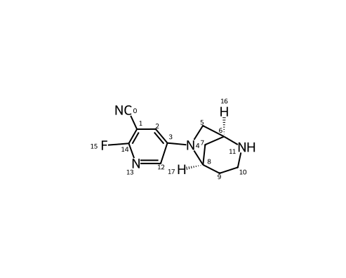 N#Cc1cc(N2C[C@@H]3C[C@H]2CCN3)cnc1F